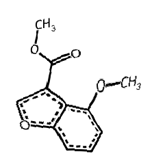 COC(=O)c1coc2cccc(OC)c12